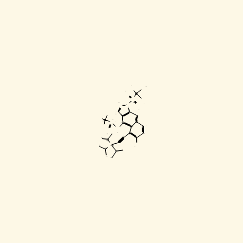 CC(C)[Si](C#Cc1c(F)ccc2cc3c(cnn3S(=O)(=O)C(F)(F)F)c(OS(=O)(=O)C(F)(F)F)c12)(C(C)C)C(C)C